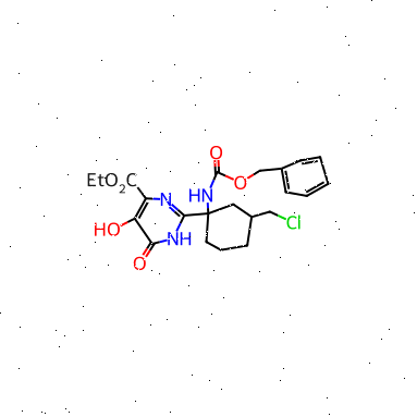 CCOC(=O)c1nc(C2(NC(=O)OCc3ccccc3)CCCC(CCl)C2)[nH]c(=O)c1O